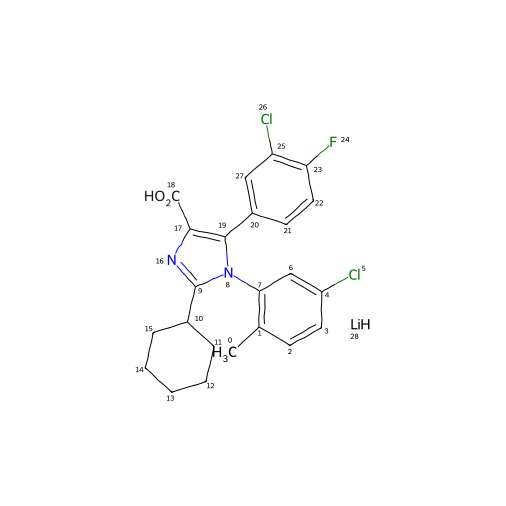 Cc1ccc(Cl)cc1-n1c(C2CCCCC2)nc(C(=O)O)c1-c1ccc(F)c(Cl)c1.[LiH]